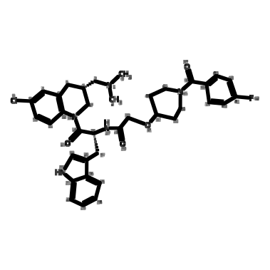 CN(C)C[C@H]1Cc2cc(Cl)ccc2N(C(=O)[C@@H](Cc2c[nH]c3ccccc23)NC(=O)COC2CCN(C(=O)c3ccc(F)cc3)CC2)C1